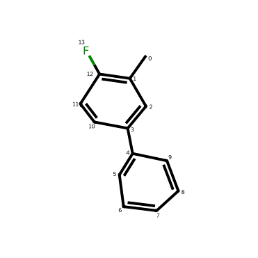 Cc1cc(-c2ccccc2)c[c]c1F